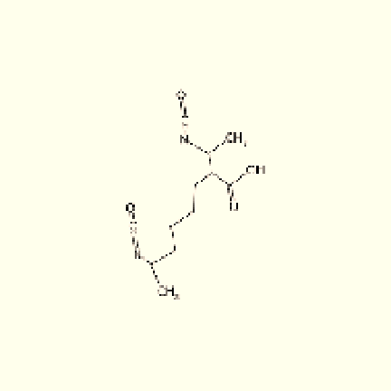 CC(CCCCC(C(=O)O)C(C)N=C=O)N=C=O